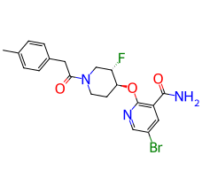 Cc1ccc(CC(=O)N2CC[C@H](Oc3ncc(Br)cc3C(N)=O)[C@@H](F)C2)cc1